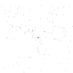 O=C(c1ccccc1Cl)c1c(N/C=C/[N+](=O)[O-])sc2c1CCC2